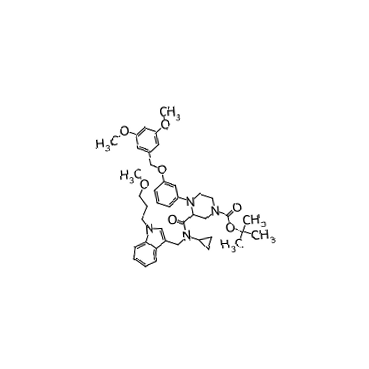 COCCCn1cc(CN(C(=O)C2CN(C(=O)OC(C)(C)C)CCN2c2cccc(OCc3cc(OC)cc(OC)c3)c2)C2CC2)c2ccccc21